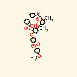 COc1ccc(S(=O)(=O)c2ccc(Oc3ccc(C(C)(C)c4ccc(C)c(CP(=O)(O)c5ccccc5)c4)cc3CP(=O)(O)c3ccccc3)cc2)cc1